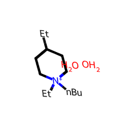 CCCC[N+]1(CC)CCC(CC)CC1.O.O